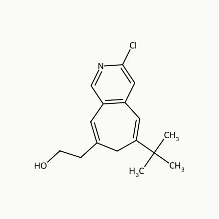 CC(C)(C)C1=Cc2cc(Cl)ncc2C=C(CCO)C1